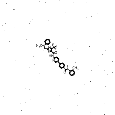 Cc1ccccc1NC(=O)c1ccc(-c2ccc(NC(=O)c3sc(CN(C)c4ccccc4)nc3C(F)(F)F)nc2)cc1